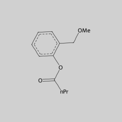 CCCC(=O)Oc1ccccc1COC